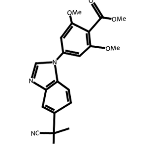 COC(=O)c1c(OC)cc(-n2cnc3cc(C(C)(C)C#N)ccc32)cc1OC